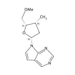 COC[C@H]1O[C@@H](n2ccc3cncnc32)C[C@H]1C